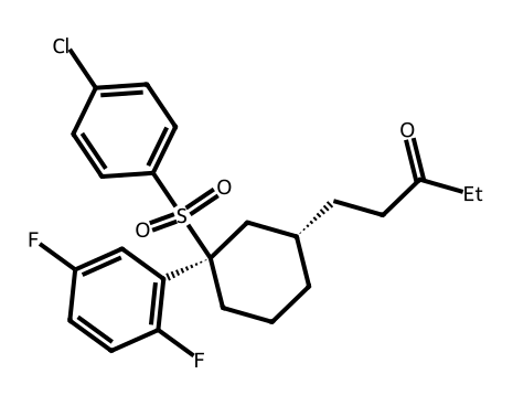 CCC(=O)CC[C@@H]1CCC[C@@](c2cc(F)ccc2F)(S(=O)(=O)c2ccc(Cl)cc2)C1